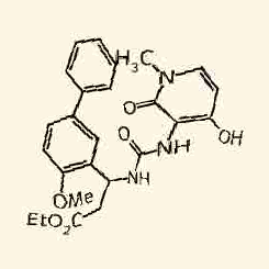 CCOC(=O)CC(NC(=O)Nc1c(O)ccn(C)c1=O)c1cc(-c2ccccc2)ccc1OC